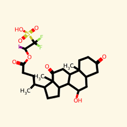 CC(CCC(=O)OC(I)C(F)(F)S(=O)(=O)O)C1CCC2C3C(O)CC4CC(=O)CCC4(C)C3CC(=O)C12C